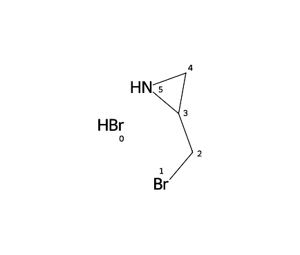 Br.BrCC1CN1